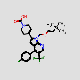 C[Si](C)(C)CCOCn1c(C2=CCN(C(=O)O)CC2)cc2c(-c3ccc(F)cc3)c(C(F)(F)F)cnc21